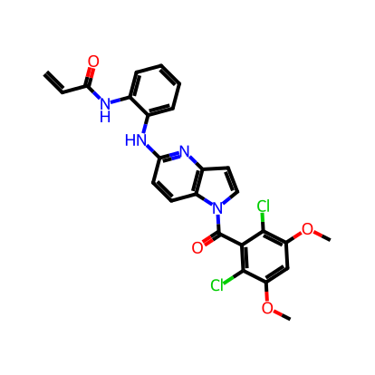 C=CC(=O)Nc1ccccc1Nc1ccc2c(ccn2C(=O)c2c(Cl)c(OC)cc(OC)c2Cl)n1